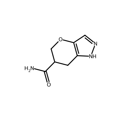 NC(=O)C1COc2cn[nH]c2C1